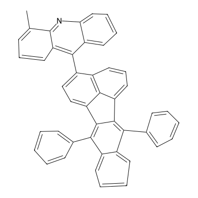 Cc1cccc2c(-c3ccc4c5c(cccc35)-c3c-4c(-c4ccccc4)c4ccccc4c3-c3ccccc3)c3ccccc3nc12